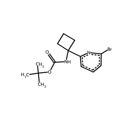 CC(C)(C)OC(=O)NC1(c2cccc(Br)n2)CCC1